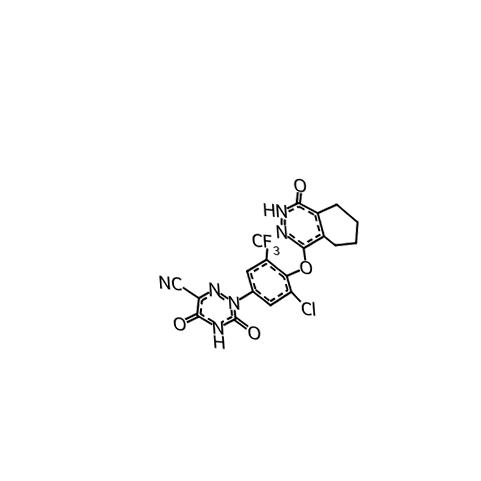 N#Cc1nn(-c2cc(Cl)c(Oc3n[nH]c(=O)c4c3CCCC4)c(C(F)(F)F)c2)c(=O)[nH]c1=O